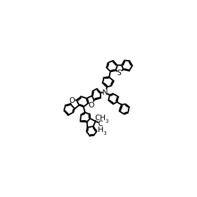 CC1(C)c2ccccc2-c2ccc(-c3c4oc5cc(N(c6ccc(-c7ccccc7)cc6)c6ccc(-c7cccc8c7sc7ccccc78)cc6)ccc5c4cc4oc5ccccc5c34)cc21